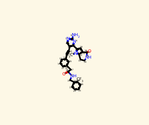 Cn1c(-c2nc(N)ncc2C#Cc2cccc(CC(=O)NCc3ccccc3C(F)(F)F)c2)cc2c1CCNC2=O